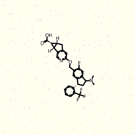 CN(C)C1C[C@H](c2ccccc2C(F)(F)F)c2cc(COc3cc4c(cn3)[C@H]3[C@@H](C4)[C@@H]3C(=O)O)c(F)cc21